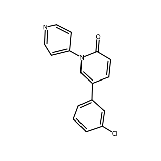 O=c1ccc(-c2cccc(Cl)c2)cn1-c1ccncc1